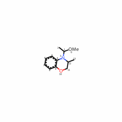 COC(C)N1c2ccccc2OCC1C